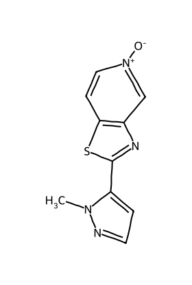 Cn1nccc1-c1nc2c[n+]([O-])ccc2s1